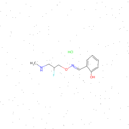 CNCC(F)CON=Cc1ccccc1O.Cl